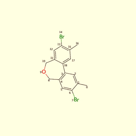 Cc1cc2c(cc1Br)COCc1cc(Br)c(C)cc1-2